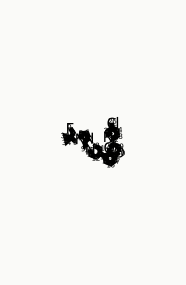 FCC1(Cn2ccnc2CN2CCC(c3cccc4c3O[C@@H](c3ccc(Cl)cn3)CO4)CC2)CC1